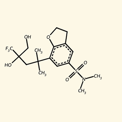 CN(C)S(=O)(=O)c1cc2c(c(C(C)(C)CC(O)(CO)C(F)(F)F)c1)OCC2